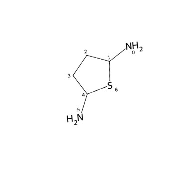 NC1CCC(N)S1